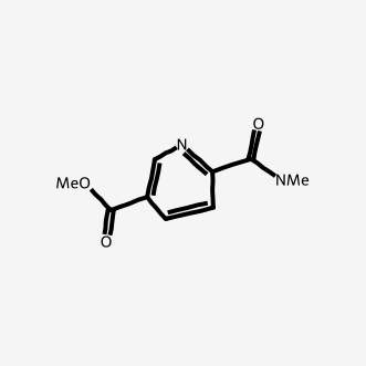 CNC(=O)c1ccc(C(=O)OC)cn1